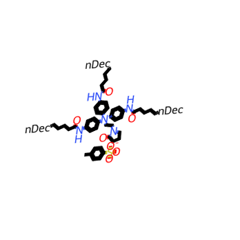 CCCCCCCCCCCCCCC(=O)Nc1ccc([N+](CCN2CCCC2=O)(c2ccc(NC(=O)CCCCCCCCCCCCCC)cc2)c2ccc(NC(=O)CCCCCCCCCCCCCC)cc2)cc1.Cc1ccc(S(=O)(=O)[O-])cc1